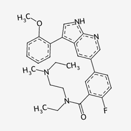 CCN(C)CCN(CC)C(=O)c1cc(-c2cnc3[nH]cc(-c4ccccc4OC)c3c2)ccc1F